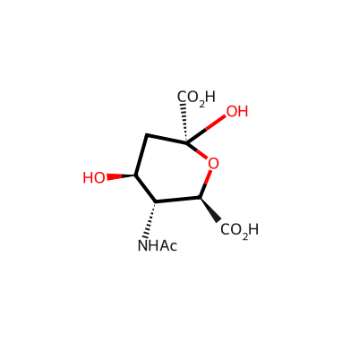 CC(=O)N[C@@H]1[C@@H](O)C[C@](O)(C(=O)O)O[C@H]1C(=O)O